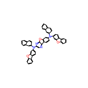 c1ccc2cc(N(c3ccc4c(c3)oc3ccccc34)c3ccc4c(c3)oc3nc(N(c5ccc6ccccc6c5)c5ccc6c(c5)oc5ccccc56)cnc34)ccc2c1